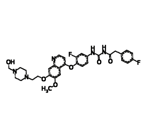 COc1cc2c(Oc3ccc(NC(=O)NC(=O)Cc4ccc(F)cc4)cc3F)ccnc2cc1OCCN1CCN(CO)CC1